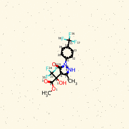 COC(=O)C(O)(c1c(C)[nH]n(-c2ccc(C(F)(F)F)cc2)c1=O)C(F)(F)F